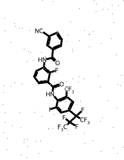 N#Cc1cccc(C(=O)Nc2cccc(C(=O)Nc3c(I)cc(C(F)(C(F)(F)F)C(F)(F)C(F)(F)F)cc3C(F)(F)F)c2F)c1